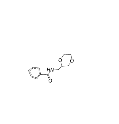 O=C(NCC1COCCO1)c1ccccc1